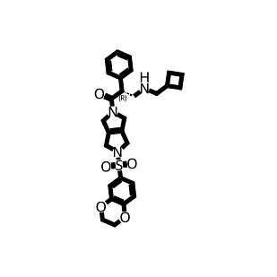 O=C([C@@H](CNCC1CCC1)c1ccccc1)N1CC2=C(C1)CN(S(=O)(=O)c1ccc3c(c1)OCCO3)C2